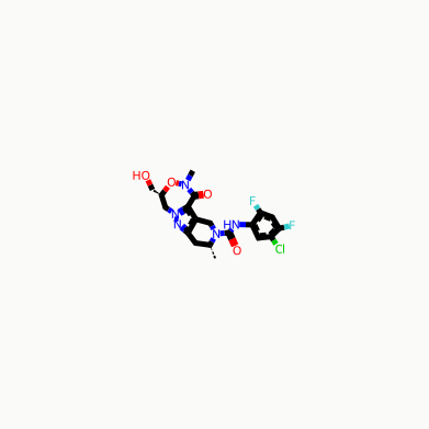 C[C@@H]1Cc2nn3c(c2CN1C(=O)Nc1cc(Cl)c(F)cc1F)C(=O)N(C)O[C@@H](CO)C3